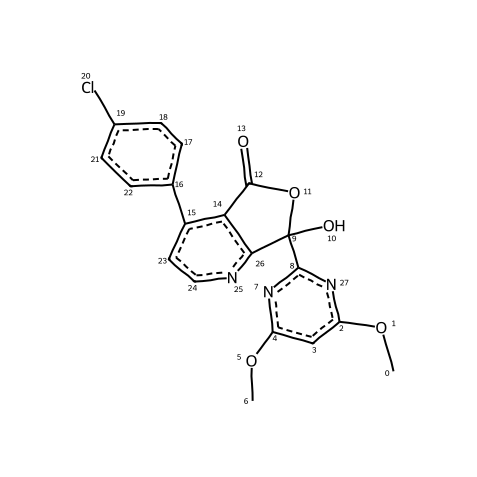 COc1cc(OC)nc(C2(O)OC(=O)c3c(-c4ccc(Cl)cc4)ccnc32)n1